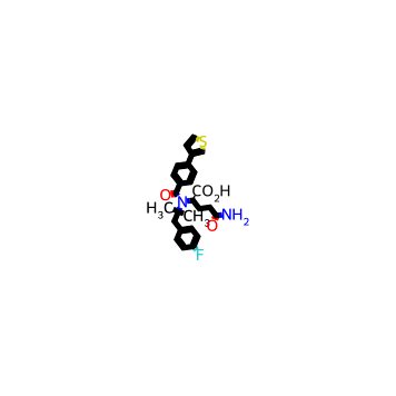 CC(C)(Cc1ccc(F)cc1)N(C(=O)c1ccc(-c2ccsc2)cc1)[C@@H](CCC(N)=O)C(=O)O